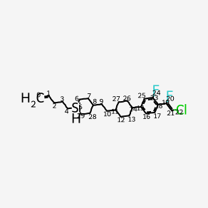 C=CCCC[SiH]1CCC(CCC2CCC(c3ccc(C(F)=CCl)c(F)c3)CC2)CC1